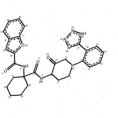 O=C(NC1(C(=O)NC2CCN(c3ccccc3-c3nnn[nH]3)CC2=O)CCCCC1)c1cc2ccccc2o1